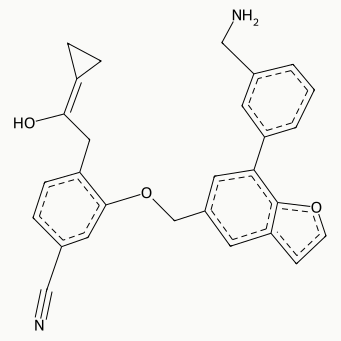 N#Cc1ccc(CC(O)=C2CC2)c(OCc2cc(-c3cccc(CN)c3)c3occc3c2)c1